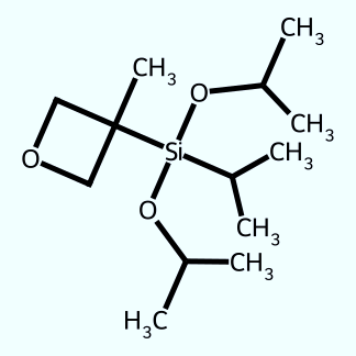 CC(C)O[Si](OC(C)C)(C(C)C)C1(C)COC1